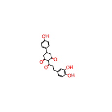 O=C(CCc1ccc(O)c(O)c1)C1C(=O)CC(c2ccc(O)cc2)CC1=O